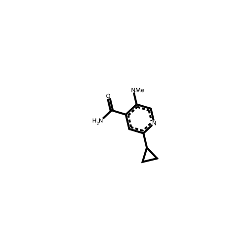 CNc1cnc(C2CC2)cc1C(N)=O